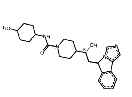 O=C(NC1CCC(O)CC1)N1CCC([C@H](O)CC2c3ccccc3-c3cncn32)CC1